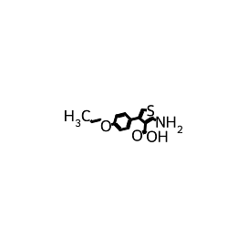 CCCOc1ccc(-c2csc(N)c2C(=O)O)cc1